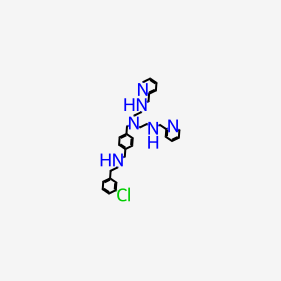 Clc1cccc(CCNCc2ccc(CN(CCNCc3ccccn3)CCNCc3ccccn3)cc2)c1